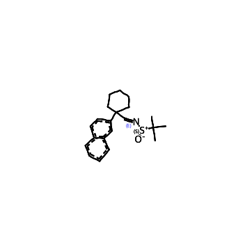 CC(C)(C)[S@@+]([O-])/N=C/C1(c2ccc3ccccc3c2)CCCCC1